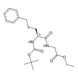 CCOC(=O)CNC(=O)[C@H](CSCc1ccccc1)NC(=O)OC(C)(C)C